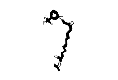 CC(C)OC(=O)CCCC=CCC=CCC1OC1COc1cccc(C(F)(F)F)c1